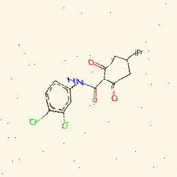 CC(C)C1CC(=O)C(C(=O)Nc2ccc(Cl)c(Cl)c2)C(=O)C1